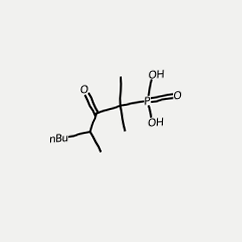 CCCCC(C)C(=O)C(C)(C)P(=O)(O)O